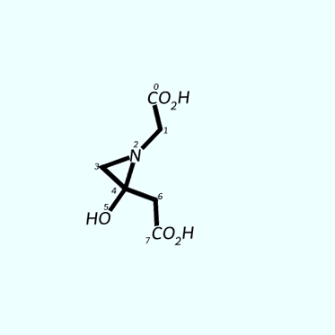 O=C(O)CN1CC1(O)CC(=O)O